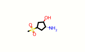 CS(=O)(=O)C1C[C@@H](N)[C@H](O)C1